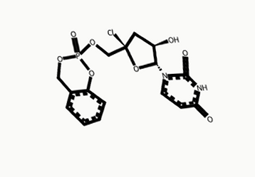 O=c1ccn([C@@H]2O[C@](Cl)(COP3(=O)OCc4ccccc4O3)C[C@H]2O)c(=O)[nH]1